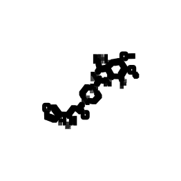 COc1cc2c(N)nc(N3CCN(C(=O)CC(N)c4ccoc4)CC3)nc2c(F)c1OC